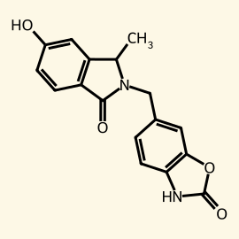 CC1c2cc(O)ccc2C(=O)N1Cc1ccc2[nH]c(=O)oc2c1